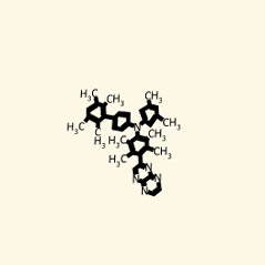 Cc1cc(C)cc(N(c2ccc(-c3c(C)c(C)cc(C)c3C)cc2)c2c(C)c(C)c(-c3cnc4nccnc4n3)c(C)c2C)c1